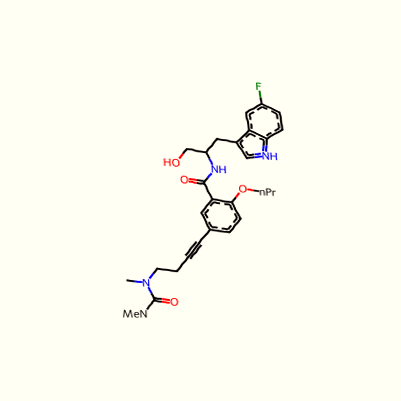 CCCOc1ccc(C#CCCN(C)C(=O)NC)cc1C(=O)NC(CO)Cc1c[nH]c2ccc(F)cc12